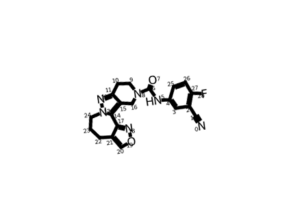 N#Cc1cc(NC(=O)N2CCc3nn4c(c3C2)-c2nocc2CCC4)ccc1F